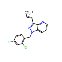 O=C(O)/C=C/c1nn(Cc2ccc(F)cc2Cl)c2cccnc12